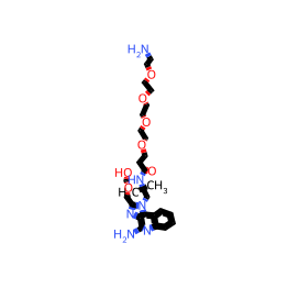 CC(C)(Cn1c(COCO)nc2c(N)nc3ccccc3c21)NC(=O)CCOCCOCCOCCOCCN